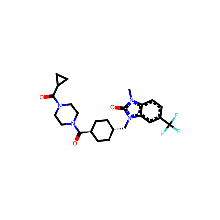 Cn1c(=O)n(C[C@H]2CC[C@H](C(=O)N3CCN(C(=O)C4CC4)CC3)CC2)c2cc(C(F)(F)F)ccc21